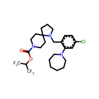 O=C(OC(C(F)(F)F)C(F)(F)F)N1CCC2(CCCN2Cc2ccc(Cl)cc2N2CCCCCC2)CC1